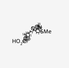 CSc1ccc(C(=O)C=Cc2cc(C)c(OC(C)(C)C(=O)O)c(C)c2)c2oc(C)nc12